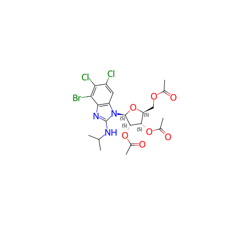 CC(=O)OC[C@@H]1O[C@H](n2c(NC(C)C)nc3c(Br)c(Cl)c(Cl)cc32)[C@@H](OC(C)=O)[C@H]1OC(C)=O